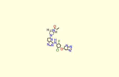 C=CC(=O)N1C[C@H]2C[C@@H]1CN(c1ccc3ncnc(Nc4cc(Cl)c(Oc5cnc6c(c5)ncn6C)cc4F)c3n1)C2